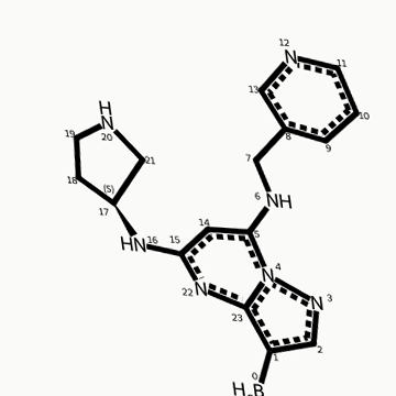 Bc1cnn2c(NCc3cccnc3)cc(N[C@H]3CCNC3)nc12